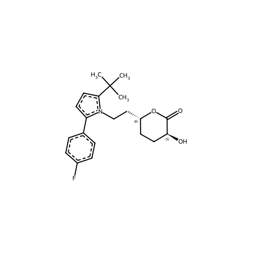 CC(C)(C)c1ccc(-c2ccc(F)cc2)n1CC[C@H]1CC[C@H](O)C(=O)O1